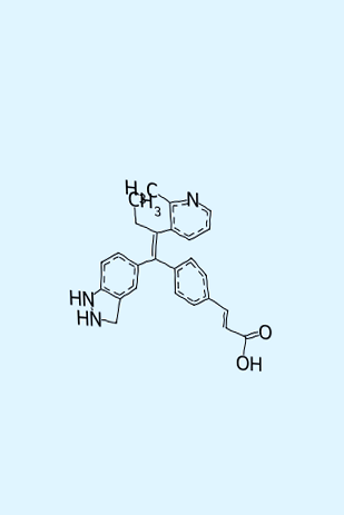 CC/C(=C(/c1ccc(/C=C/C(=O)O)cc1)c1ccc2c(c1)CNN2)c1cccnc1C